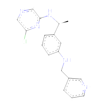 C[C@H](Nc1cncc(Cl)n1)c1cccc(NCc2cccnc2)c1